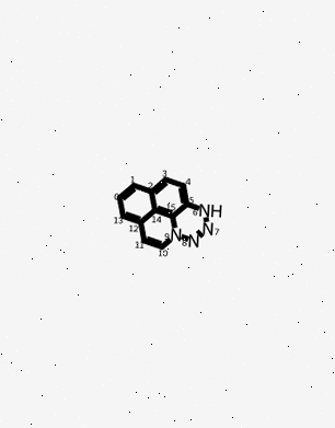 c1cc2ccc3[nH]nnn4ccc(c1)c2c3-4